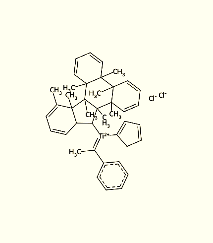 CC1=CC=CC2[CH](/[Ti+2]([C]3=CC=CC3)=[C](\C)c3ccccc3)C3(C)C4(C)C=CC=CC4(C)C4(C)C=CC=CC4(C)C3(C)C12C.[Cl-].[Cl-]